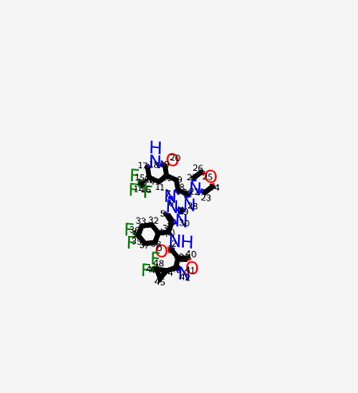 O=C(N[C@H](c1cn2nc(CC3C[C@@H](C(F)(F)F)CNC3=O)c(N3CCOCC3)nc2n1)C1CCC(F)(F)CC1)c1conc1C1CC1(F)F